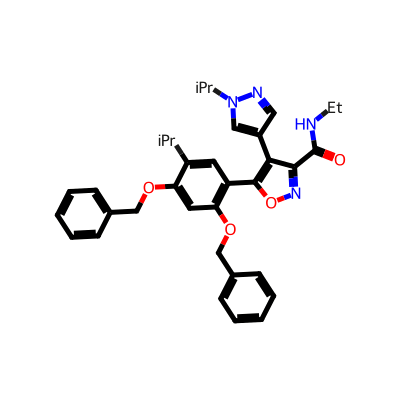 CCNC(=O)c1noc(-c2cc(C(C)C)c(OCc3ccccc3)cc2OCc2ccccc2)c1-c1cnn(C(C)C)c1